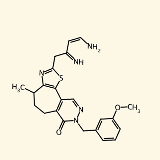 COc1cccc(Cn2ncc3c(c2=O)CCC(C)c2nc(CC(=N)/C=C\N)sc2-3)c1